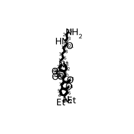 CCN(CC)c1ccc2cc(/C=C/c3cc[n+](CCCCCC(=O)NCCN)cc3S(=O)(=O)[O-])c(=O)oc2c1